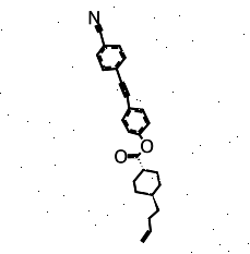 C=CCC[C@H]1CC[C@H](C(=O)Oc2ccc(C#Cc3ccc(C#N)cc3)cc2)CC1